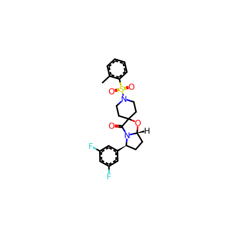 Cc1ccccc1S(=O)(=O)N1CCC2(CC1)O[C@@H]1CC[C@@H](c3cc(F)cc(F)c3)N1C2=O